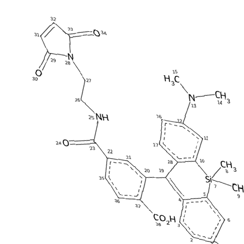 C=c1ccc2c(c1)[Si](C)(C)c1cc(N(C)C)ccc1C=2c1cc(C(=O)NCCN2C(=O)C=CC2=O)ccc1C(=O)O